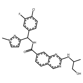 CC(CO)Nc1ncc2ccc(C(=O)NC(c3ccc(Cl)c(F)c3)c3ccn(C)n3)cc2n1